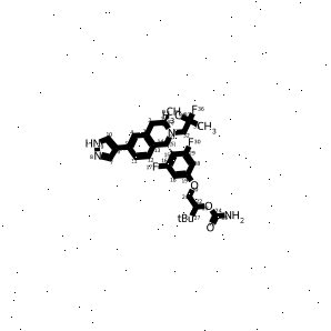 C[C@@H]1Cc2cc(-c3cn[nH]c3)ccc2[C@@H](c2c(F)cc(OCC(OC(N)=O)C(C)(C)C)cc2F)N1CC(C)(C)F